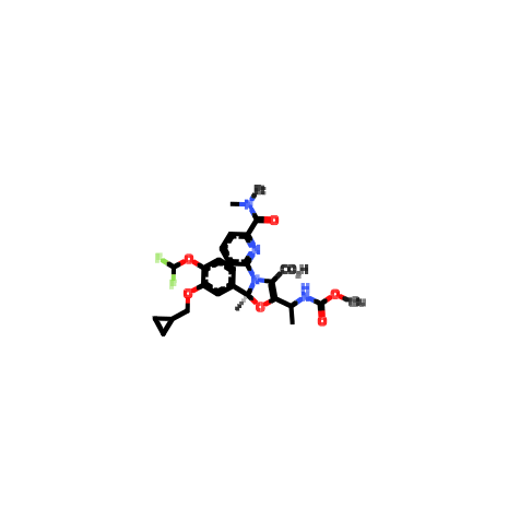 CCN(C)C(=O)c1cccc(N2C(C(=O)O)=C(C(C)NC(=O)OC(C)(C)C)O[C@@]2(C)c2ccc(OC(F)F)c(OCC3CC3)c2)n1